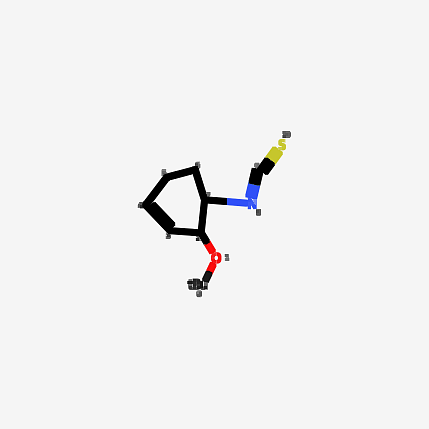 CC(C)(C)OC1C=CCCC1N=C=S